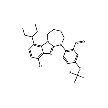 CCC(CC)c1ccc(Cl)c2nc3n(c12)CCCCN3c1ccc(OC(F)(F)F)cc1C=O